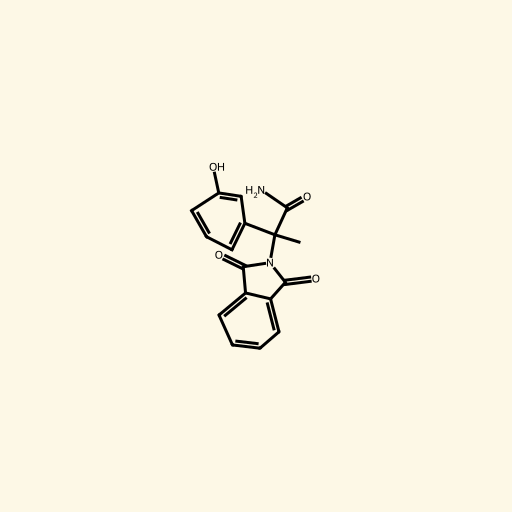 CC(C(N)=O)(c1cccc(O)c1)N1C(=O)c2ccccc2C1=O